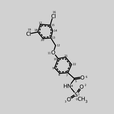 CS(=O)(=O)NC(=O)c1ccc(OCc2cc(Cl)cc(Cl)c2)cc1